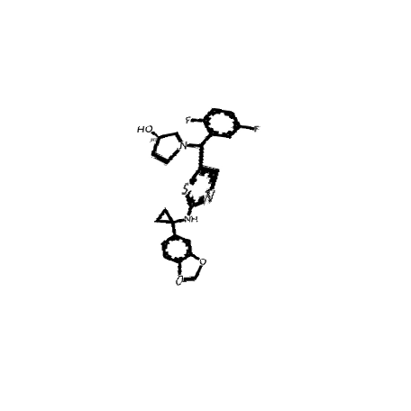 O[C@@H]1CCN(C(c2cnc(NC3(c4ccc5c(c4)OCO5)CC3)s2)c2cc(F)ccc2F)C1